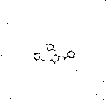 Cc1ccc(SC2OC(COCc3ccccc3)C(O)C(O)C2OC(=O)c2ccccc2)cc1